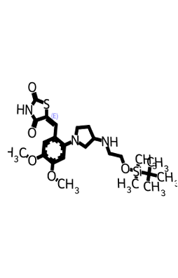 COc1cc(/C=C2/SC(=O)NC2=O)c(N2CCC(NCCO[Si](C)(C)C(C)(C)C)C2)cc1OC